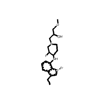 CCc1c[s+]([O-])c2c(NC3CCN(CC(O)COC)CC3F)cccc12